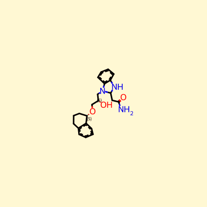 NC(=O)CC1Nc2ccccc2N1C[C@H](O)CO[C@H]1CCCc2ccccc21